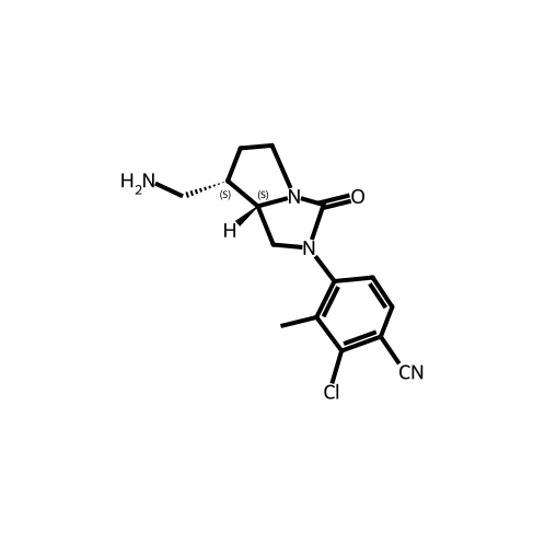 Cc1c(N2C[C@@H]3[C@H](CN)CCN3C2=O)ccc(C#N)c1Cl